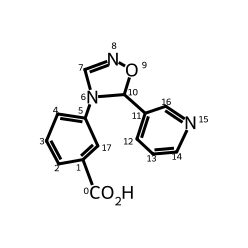 O=C(O)c1cccc(N2C=NOC2c2cccnc2)c1